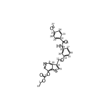 CCOC(=O)Oc1cncc2c(COc3cccc(NC(=O)c4ccc(OC)cc4)c3)csc12